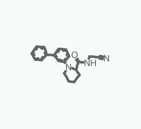 N#CCNC(=O)C1CCCCN1c1cccc(-c2ccccc2)c1